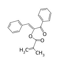 C=C(C)C(=O)OC(=Cc1ccccc1)C(=O)c1ccccc1